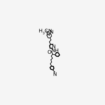 Cc1nnc2n1CCC(CCc1ccc(NC(=O)C(CCCCCc3ccc(C#N)cc3)c3ccccc3)nc1)C2